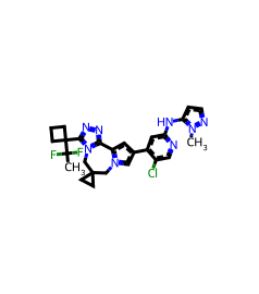 Cn1nccc1Nc1cc(-c2cc3n(c2)CC2(CC2)Cn2c-3nnc2C2(C(C)(F)F)CCC2)c(Cl)cn1